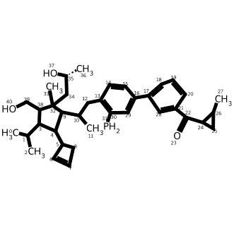 CC(C)C1C(C2C=CC2)C(C(C)Cc2ccc(-c3cccc(C(=O)C4CC4C)c3)cc2P)C(C)(C[C@@H](C)O)C1CO